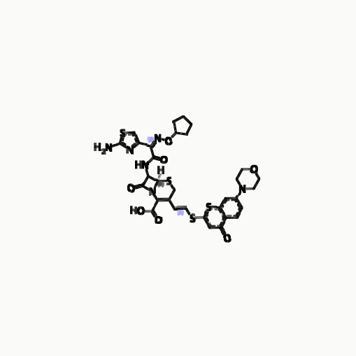 Nc1nc(/C(=N/OC2CCCC2)C(=O)NC2C(=O)N3C(C(=O)O)=C(/C=C/Sc4cc(=O)c5ccc(N6CCOCC6)cc5s4)CS[C@H]23)cs1